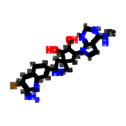 CCNc1ncnc2c1ccn2C1CC2(CNC(c3ccc4cc(Br)c(N)nc4c3)C2)C(O)C1O